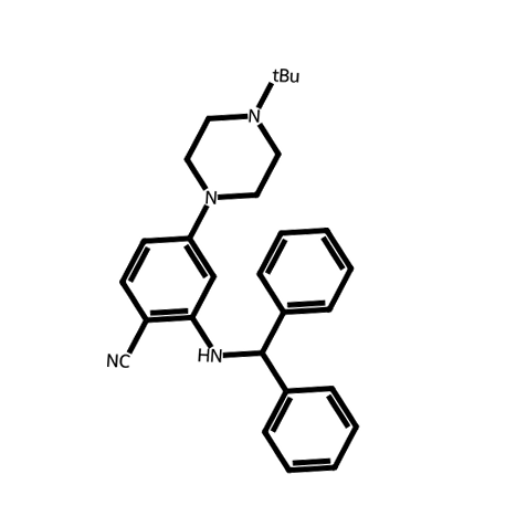 CC(C)(C)N1CCN(c2ccc(C#N)c(NC(c3ccccc3)c3ccccc3)c2)CC1